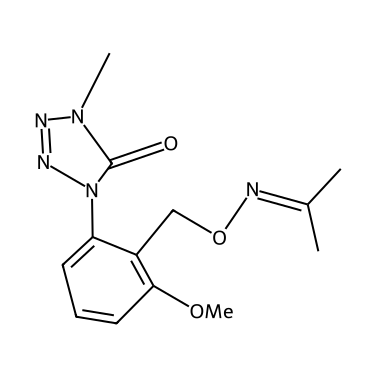 COc1cccc(-n2nnn(C)c2=O)c1CON=C(C)C